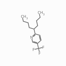 CCCCC(CCCC)c1ccc(C(F)(F)F)cn1